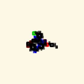 CCOC(=O)c1ccc(-n2cnc3cc(OC)c(OC)cc32)nc1NC(CCN)c1cccc(Cl)c1